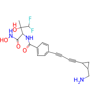 CC(O)(C(F)F)C(NC(=O)c1ccc(C#CC#CC2CC2CN)cc1)C(=O)NO